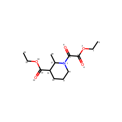 CCOC(=O)C(=O)N1CCCC(C(=O)OCC)C1C